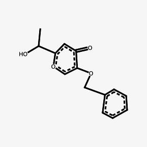 CC(O)c1cc(=O)c(OCc2ccccc2)co1